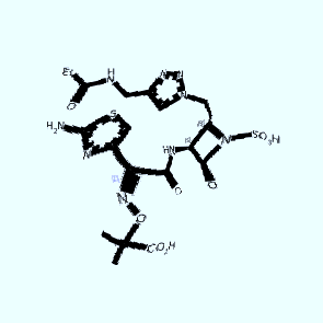 CCC(=O)NCc1cn(C[C@@H]2[C@H](NC(=O)/C(=N\OC(C)(C)C(=O)O)c3csc(N)n3)C(=O)N2S(=O)(=O)O)nn1